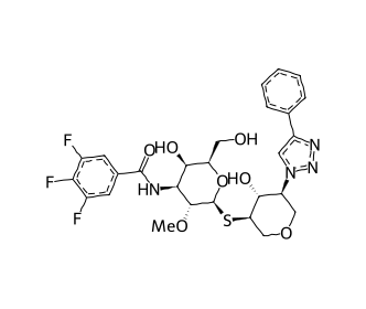 CO[C@@H]1[C@@H](NC(=O)c2cc(F)c(F)c(F)c2)[C@@H](O)[C@@H](CO)O[C@H]1S[C@@H]1COC[C@H](n2cc(-c3ccccc3)nn2)[C@H]1O